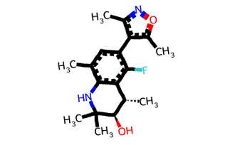 Cc1cc(-c2c(C)noc2C)c(F)c2c1NC(C)(C)[C@H](O)[C@H]2C